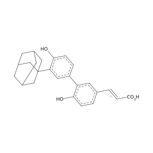 O=C(O)/C=C/c1ccc(O)c(-c2ccc(O)c(C34CC5CC(CC(C5)C3)C4)c2)c1